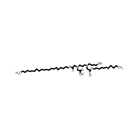 CCCCCCCCCCCCCCCCCCCCCOC(=O)CN(CCCN(CCCCO)CC(=C=O)OCCCCCCCCCCC)CC(=O)O